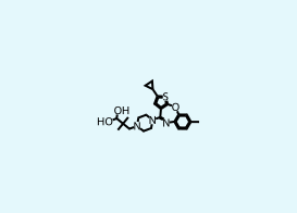 Cc1ccc2c(c1)Oc1sc(C3CC3)cc1C(N1CCN(CC(C)(C)C(O)O)CC1)=N2